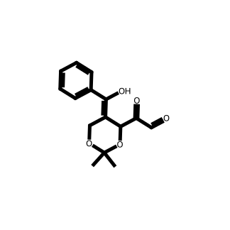 CC1(C)OCC(=C(O)c2ccccc2)C(C(=O)C=O)O1